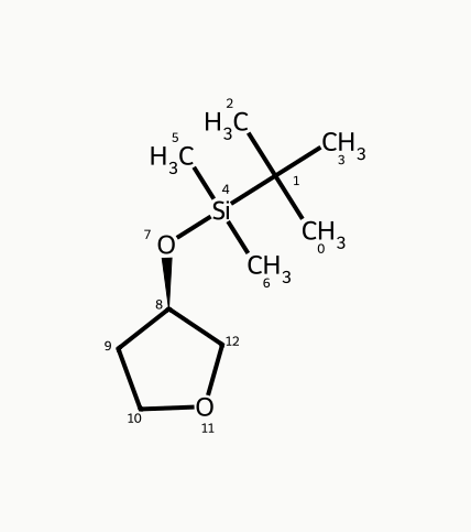 CC(C)(C)[Si](C)(C)O[C@@H]1CCOC1